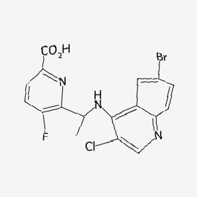 CC(Nc1c(Cl)cnc2ccc(Br)cc12)c1nc(C(=O)O)ccc1F